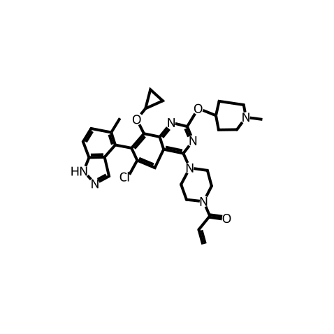 C=CC(=O)N1CCN(c2nc(OC3CCN(C)CC3)nc3c(OC4CC4)c(-c4c(C)ccc5[nH]ncc45)c(Cl)cc23)CC1